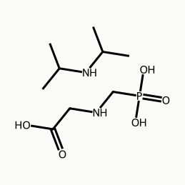 CC(C)NC(C)C.O=C(O)CNCP(=O)(O)O